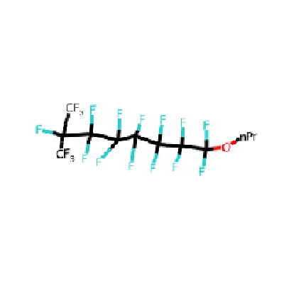 CCCOC(F)(F)C(F)(F)C(F)(F)C(F)(F)C(F)(F)C(F)(F)C(F)(C(F)(F)F)C(F)(F)F